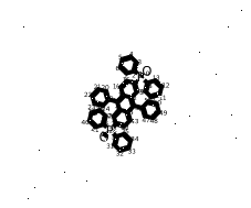 O=P(c1ccccc1)(c1ccccc1)c1ccc2c(-c3ccccc3)c3cc(P(=O)(c4ccccc4)c4ccccc4)ccc3c(-c3ccccc3)c2c1